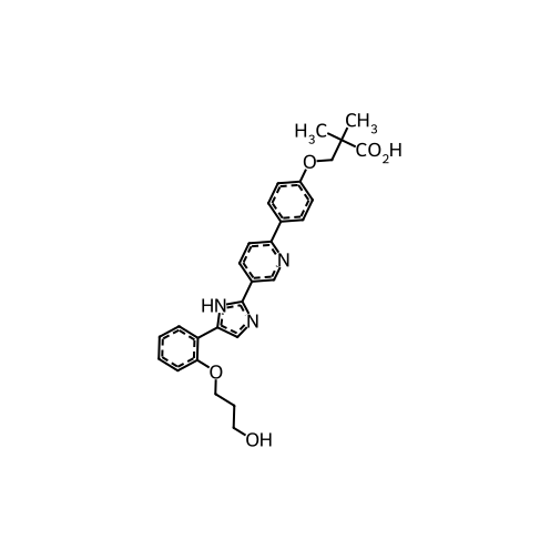 CC(C)(COc1ccc(-c2ccc(-c3ncc(-c4ccccc4OCCCO)[nH]3)cn2)cc1)C(=O)O